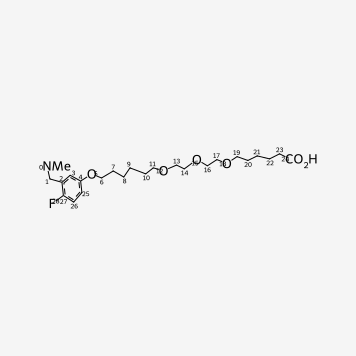 CNCc1cc(OCCCCCCOCCOCCOCCCCCC(=O)O)ccc1F